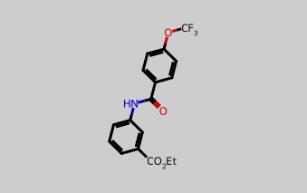 CCOC(=O)c1cccc(NC(=O)c2ccc(OC(F)(F)F)cc2)c1